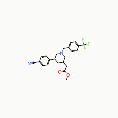 COC(=O)CC1CC(c2ccc(C#N)cc2)CN(Cc2ccc(C(F)(F)F)cc2)C1